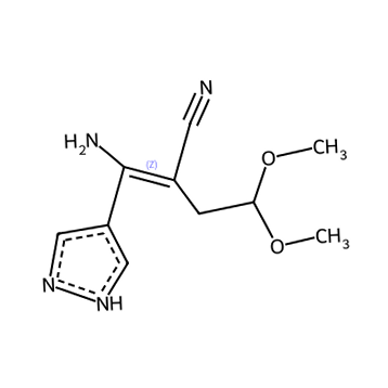 COC(C/C(C#N)=C(/N)c1cn[nH]c1)OC